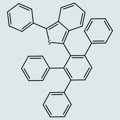 c1ccc(-c2ccc(-c3ccccc3)c(-c3sc(-c4ccccc4)c4ccccc34)c2-c2ccccc2)cc1